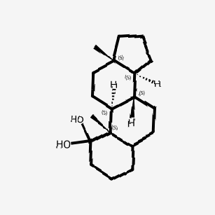 C[C@@]12CCC[C@H]1[C@@H]1CCC3CCCC(O)(O)[C@]3(C)[C@H]1CC2